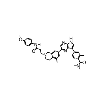 COc1ccc(NC(=O)CCN2CCc3c(C)cc(-c4cnc5[nH]cc(-c6ccc(C(=O)N(C)C)c(C)c6)c5n4)cc3C2)cc1